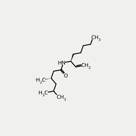 [CH2][C@H](CC(=O)N[C@H](C=C)CCCCC)CC(C)C